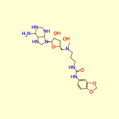 CN(CCCNC(=O)Nc1ccc2c(c1)OCO2)C[C@H]1O[C@@H](N2CNC3C(N)NCNC32)[C@H](O)[C@@H]1O